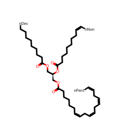 CCCCC/C=C\C/C=C\C/C=C\C/C=C\CCCCCC(=O)OC[C@@H](COC(=O)CCCCCCCCCCCCCCCCCC)OC(=O)CCCCCCC/C=C\CCCCCCCCC